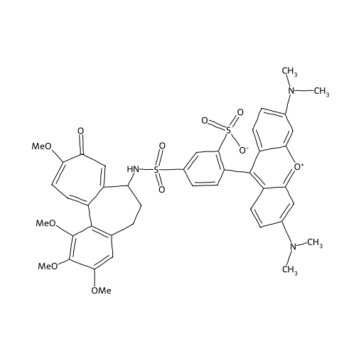 COc1cc2c(c(OC)c1OC)-c1ccc(OC)c(=O)cc1C(NS(=O)(=O)c1ccc(-c3c4ccc(N(C)C)cc4[o+]c4cc(N(C)C)ccc34)c(S(=O)(=O)[O-])c1)CC2